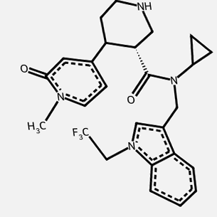 Cn1ccc(C2CCNC[C@@H]2C(=O)N(Cc2cn(CC(F)(F)F)c3ccccc23)C2CC2)cc1=O